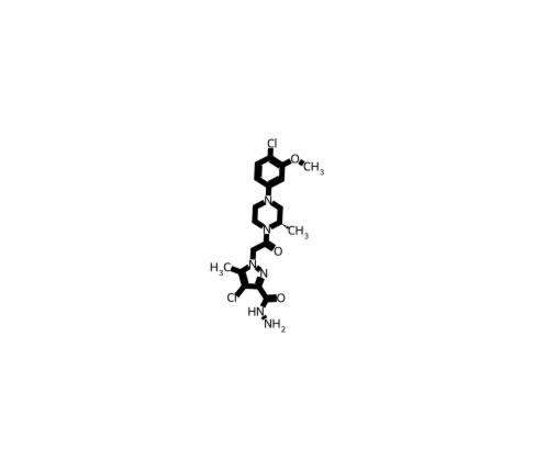 COc1cc(N2CCN(C(=O)Cn3nc(C(=O)NN)c(Cl)c3C)[C@@H](C)C2)ccc1Cl